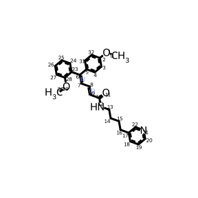 COc1ccc(/C(=C\C=C\C(=O)NCCCCc2cccnc2)c2ccccc2OC)cc1